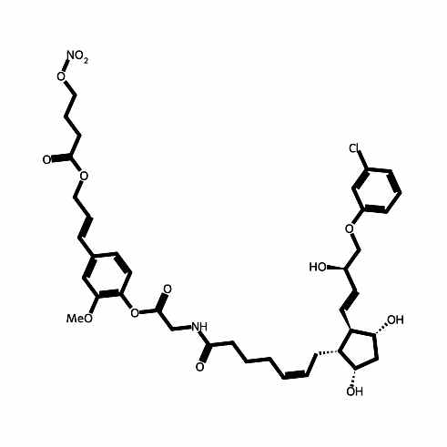 COc1cc(/C=C/COC(=O)CCCO[N+](=O)[O-])ccc1OC(=O)CNC(=O)CCC/C=C\C[C@@H]1[C@@H](/C=C/[C@@H](O)COc2cccc(Cl)c2)[C@H](O)C[C@@H]1O